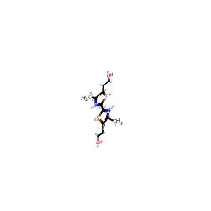 Cc1nc(-c2nc(C)c(CCO)s2)sc1CCO